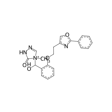 C[N+]1(C(O)c2ccccc2OCCc2coc(-c3ccccc3)n2)C=NNC1=O